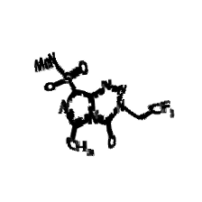 CNS(=O)(=O)c1nc(C)n2c(=O)n(CC(F)(F)F)nnc12